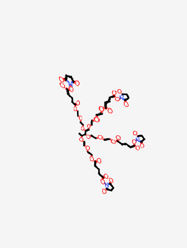 CC(OCCOCCOC(=O)CCCC(=O)ON1C(=O)CCC1=O)C(OCCOCCOC(=O)CCCC(=O)ON1C(=O)CCC1=O)C(COCCOCCOC(=O)CCCC(=O)ON1C(=O)CCC1=O)OCCOCCOC(=O)CCCC(=O)ON1C(=O)CCC1=O